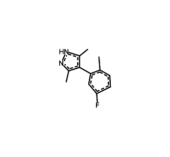 Cc1ccc(F)cc1-c1c(C)n[nH]c1C